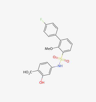 COc1c(-c2ccc(F)cc2)cccc1S(=O)(=O)Nc1ccc(C(=O)O)c(O)c1